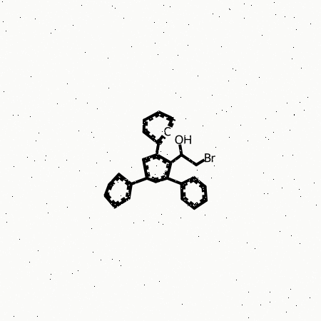 OC(CBr)c1c(-c2ccccc2)cc(-c2ccccc2)cc1-c1ccccc1